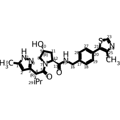 Cc1cc([C@H](C(=O)N2C[C@H](O)C[C@H]2C(=O)NCc2ccc(-c3scnc3C)cc2)C(C)C)n[nH]1